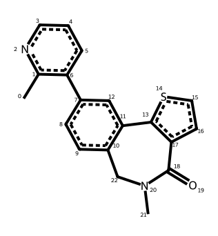 Cc1ncccc1-c1ccc2c(c1)-c1sccc1C(=O)N(C)C2